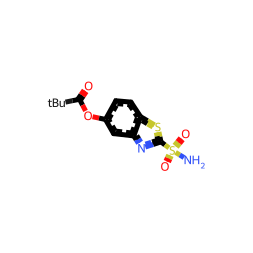 CC(C)(C)C(=O)Oc1ccc2sc(S(N)(=O)=O)nc2c1